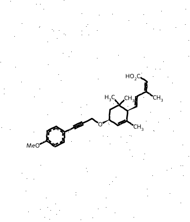 COc1ccc(C#CCO[C@@H]2C=C(C)[C@H](/C=C/C(C)=C\C(=O)O)C(C)(C)C2)cc1